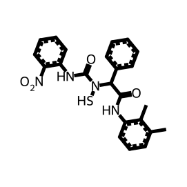 Cc1cccc(NC(=O)C(c2ccccc2)N(S)C(=O)Nc2ccccc2[N+](=O)[O-])c1C